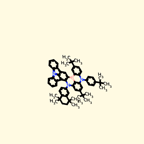 CC(C)(C)c1ccc(N2c3ccc(C(C)(C)C)cc3B3c4cc5c6ccccc6n6c7ccccc7c(c4N(c4ccc7c(c4)C(C)(C)CCC7(C)C)c4cc(C(C)(C)C)cc2c43)c56)cc1